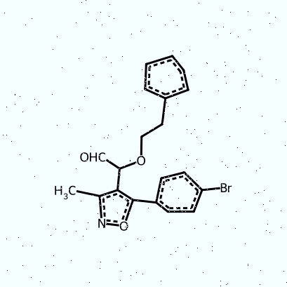 Cc1noc(-c2ccc(Br)cc2)c1C(C=O)OCCc1ccccc1